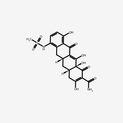 CS(=O)(=O)Nc1ccc(O)c2c1C[C@H]1C[C@H]3CC(O)=C(C(N)=O)C(=O)[C@@]3(O)C(O)=C1C2=O